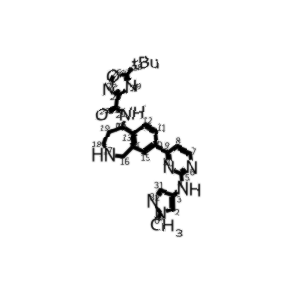 Cn1cc(Nc2nccc(-c3ccc4c(c3)CNCC[C@H]4NC(=O)c3noc(C(C)(C)C)n3)n2)cn1